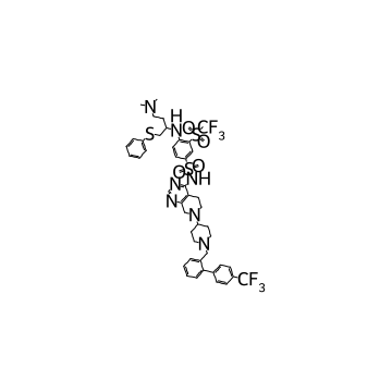 CN(C)CCC(CSc1ccccc1)Nc1ccc(S(=O)(=O)Nc2ncnc3c2CCN(C2CCN(Cc4ccccc4-c4ccc(C(F)(F)F)cc4)CC2)C3)cc1S(=O)(=O)C(F)(F)F